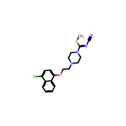 CSC(=NC#N)N1CCN(CCOc2ccc(Cl)c3ccccc23)CC1